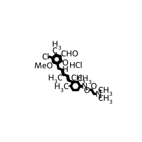 COc1c(Cl)c(C)c(C=O)c(O)c1C/C=C(C)/C=C/[C@@]1(C)[C@H](C)CCC(=NOC(=O)CN(C)C)[C@@H]1C.Cl